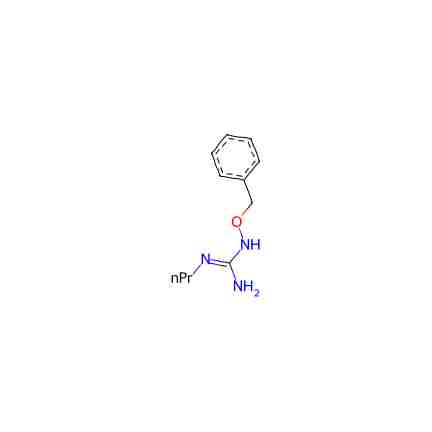 CCCN=C(N)NOCc1ccccc1